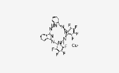 Fc1c(F)c(F)c2c(c1F)-c1nc-2nc2[nH]c(nc3nc(nc4[nH]c(n1)c1ccccc41)-c1ccccc1-3)c1c(F)c(F)c(F)c(F)c21.[Cu]